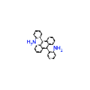 Nc1ccccc1-c1c2ccccc2c(-c2ccccc2N)c2ccccc12